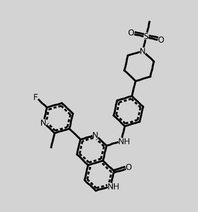 Cc1nc(F)ccc1-c1cc2cc[nH]c(=O)c2c(Nc2ccc(C3CCN(S(C)(=O)=O)CC3)cc2)n1